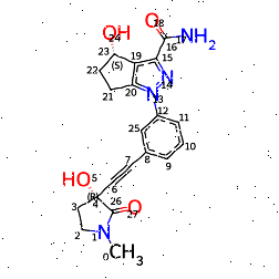 CN1CC[C@@](O)(C#Cc2cccc(-n3nc(C(N)=O)c4c3CC[C@@H]4O)c2)C1=O